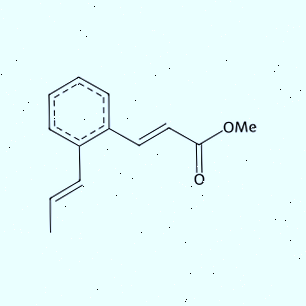 C/C=C/c1ccccc1C=CC(=O)OC